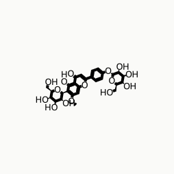 COc1cc2oc(-c3ccc(O[C@@H]4O[C@H](CO)[C@@H](O)[C@H](O)[C@H]4O)cc3)cc(=O)c2c(O)c1[C@@H]1O[C@H](CO)[C@@H](O)[C@H](O)[C@H]1O